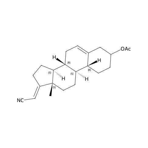 CC(=O)OC1CC[C@H]2C(=CC[C@@H]3[C@@H]2CC[C@]2(C)C(=CC#N)CC[C@@H]32)C1